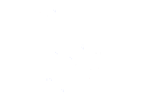 CC(Nc1nc(-c2c[nH]c3ncc(F)cc23)nc(-c2ccc(C(N)=O)s2)c1F)C(C)C(=O)O